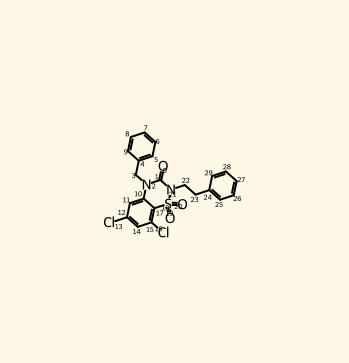 O=C1N(Cc2ccccc2)c2cc(Cl)cc(Cl)c2S(=O)(=O)N1CCc1ccccc1